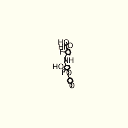 COc1ccc(COc2ccc(CNCc3cccc(NC(=O)O)c3F)c(O)c2F)cc1